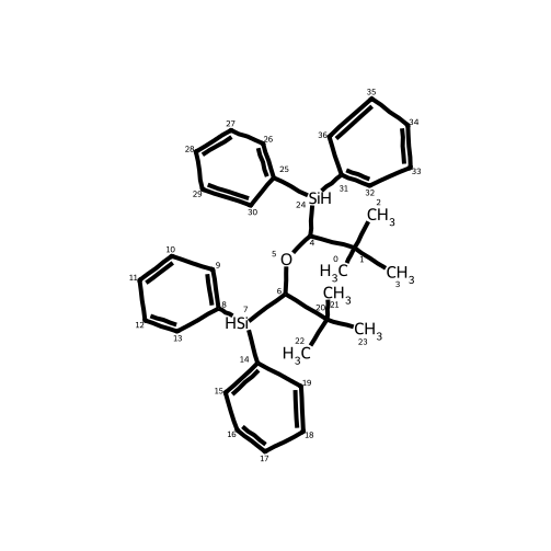 CC(C)(C)C(OC([SiH](c1ccccc1)c1ccccc1)C(C)(C)C)[SiH](c1ccccc1)c1ccccc1